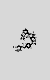 CN(c1ncccc1CNc1nc(Nc2ccc(CNC(CO)CO)cc2)ncc1C(F)(F)F)S(C)(=O)=O